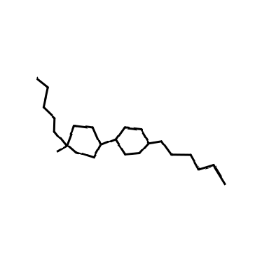 CCCCCCC1CCC(C2CCC(C)(CCCCC)CC2)CC1